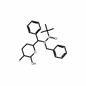 CC(C)(C)[S+]([O-])N(Cc1ccccc1)C(c1ccccc1)C1CCC(I)C(O)O1